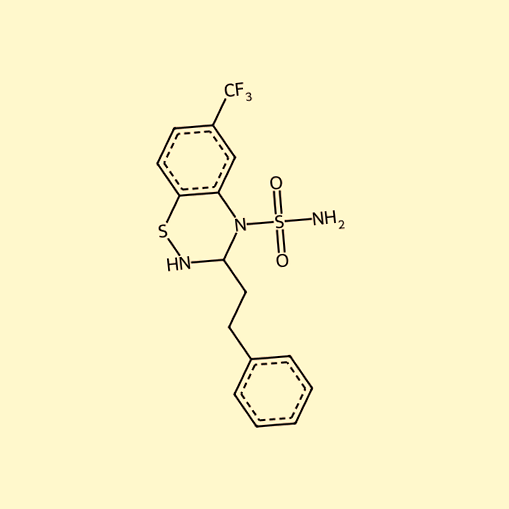 NS(=O)(=O)N1c2cc(C(F)(F)F)ccc2SNC1CCc1ccccc1